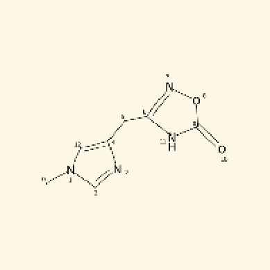 Cn1cnc(Cc2noc(=O)[nH]2)c1